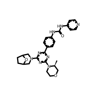 C[C@H]1COCCN1c1nc(-c2ccc(NC(=O)Nc3ccncc3)cc2)nc(N2CC3CCC(C2)O3)n1